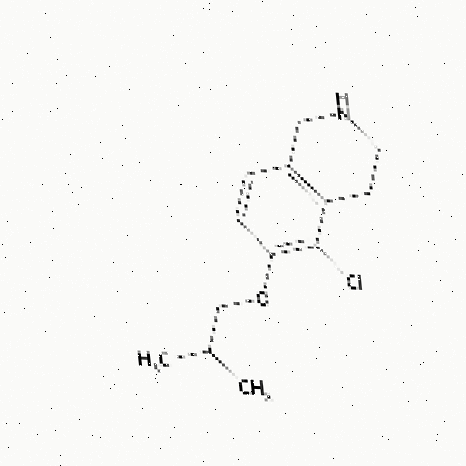 CC(C)COc1ccc2c(c1Cl)CCNC2